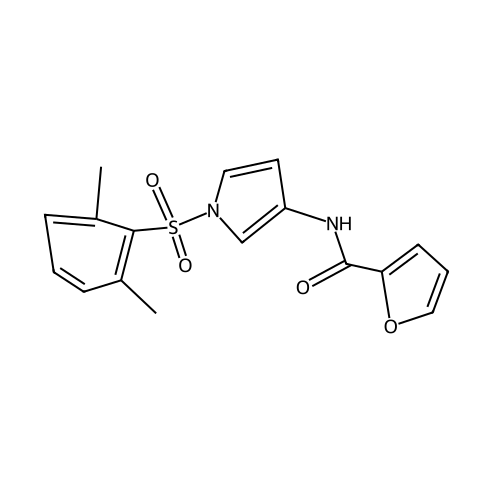 Cc1cccc(C)c1S(=O)(=O)n1ccc(NC(=O)c2ccco2)c1